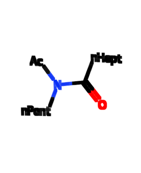 CCCCCCCC(=O)N(CCCCC)C(C)=O